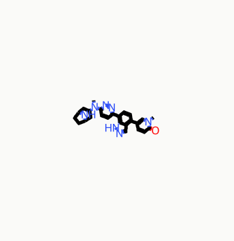 CN(c1ccc(-c2ccc(-c3ccc(=O)n(C)c3)c3cn[nH]c23)nn1)C1CC2CCC(C1)N2